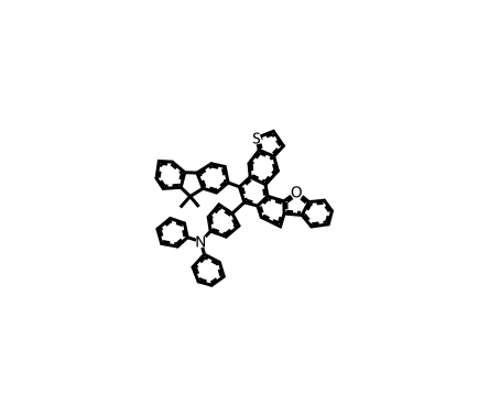 CC1(C)c2ccccc2-c2ccc(-c3c(-c4ccc(N(c5ccccc5)c5ccccc5)cc4)c4ccc5c6ccccc6oc5c4c4cc5ccsc5cc34)cc21